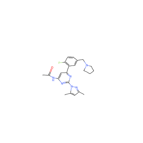 CC(=O)Nc1cc(-c2cc(CN3CCCC3)ccc2F)nc(-n2nc(C)cc2C)n1